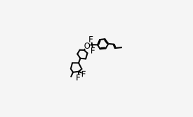 C/C=C/c1ccc(C(F)(F)OC2CCC(C3CCC(C)C(F)(F)C3)CC2)cc1